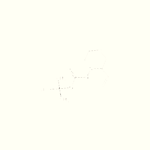 CC(C)(C)OC(=O)ON1CCOCC1C=O